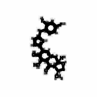 C[C@H]1CO[C@@H]2Cn3cc(-c4ncc(Cc5ccc(F)cc5F)s4)c(=O)c(O)c3C(=O)N12